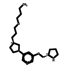 CCCCOCCC[C@@H]1CCN(c2cncc(OC[C@@H]3CCCN3)c2)C1